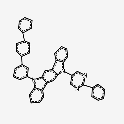 c1ccc(-c2ccc(-c3cccc(-n4c5ccccc5c5cc6c(cc54)c4ccccc4n6-c4cnc(-c5ccccc5)nc4)c3)cc2)cc1